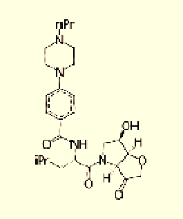 CCCN1CCN(c2ccc(C(=O)N[C@@H](CC(C)C)C(=O)N3C[C@@H](O)[C@H]4OCC(=O)[C@H]43)cc2)CC1